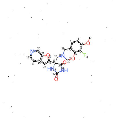 COc1ccc2c(c1F)OCN(C[C@@]1(c3cc4ccncc4o3)NC(=O)NC1=O)C2